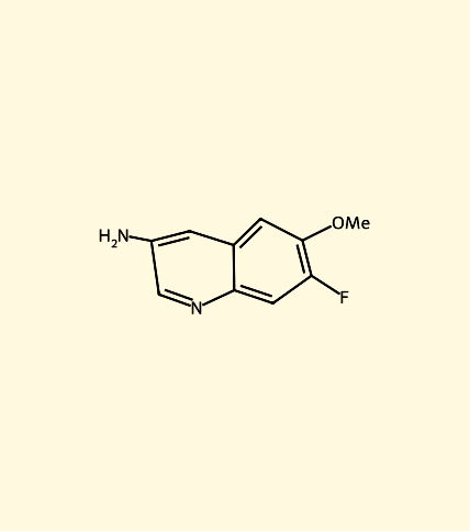 COc1cc2cc(N)cnc2cc1F